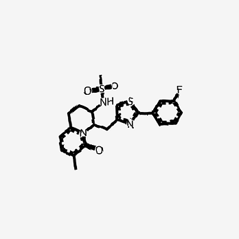 Cc1ccc2n(c1=O)C(Cc1csc(-c3cccc(F)c3)n1)C(NS(C)(=O)=O)CC2